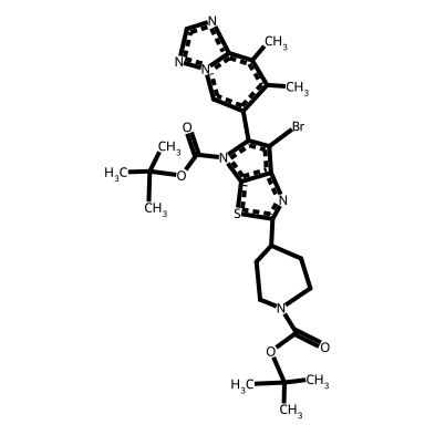 Cc1c(-c2c(Br)c3nc(C4CCN(C(=O)OC(C)(C)C)CC4)sc3n2C(=O)OC(C)(C)C)cn2ncnc2c1C